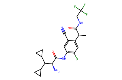 CC(C(=O)NCC(F)(F)F)c1cc(F)c(NC(=O)[C@@H](N)C(C2CC2)C2CC2)cc1C#N